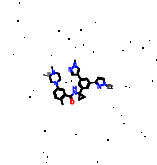 CCn1ccc(-c2cc(-c3cnn(C)c3)cc(C3(NC(=O)c4cc(N5CCN(C)[C@@H](C)C5)ccc4C)CC3)c2)n1